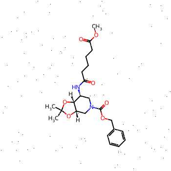 COC(=O)CCCCC(=O)N[C@H]1CN(C(=O)OCc2ccccc2)C[C@@H]2OC(C)(C)O[C@H]12